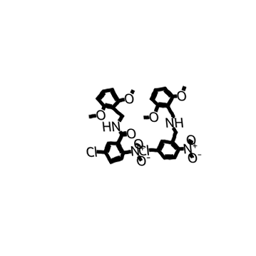 COc1cccc(OC)c1CNC(=O)c1cc(Cl)ccc1[N+](=O)[O-].COc1cccc(OC)c1CNCc1cc(Cl)ccc1[N+](=O)[O-]